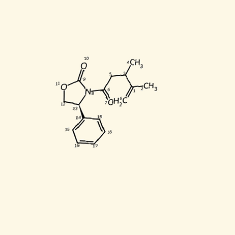 C=C(C)C(C)CC(=O)N1C(=O)OC[C@@H]1c1ccccc1